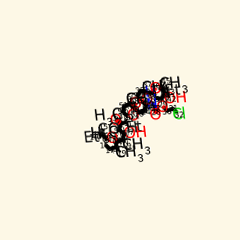 CCC(C(=O)[C@@H](C)[C@@H](O)[C@H](C)[C@@H]1O[C@@H]([C@@H](CC)C(=O)O)CC[C@@H]1C)[C@H]1O[C@]2(C=C[C@@H](NC(=O)OCCCl)[C@]3(CC[C@@](C)([C@H]4CC[C@](O)(CC)[C@H](C)O4)O3)O2)[C@H](C)C[C@@H]1C